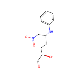 O=C[C@H](O)CC[C@H](C[N+](=O)[O-])Nc1ccccc1